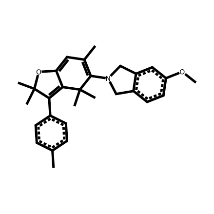 COc1ccc2c(c1)CN(C1=C(C)C=C3OC(C)(C)C(c4ccc(C)cc4)=C3C1(C)C)C2